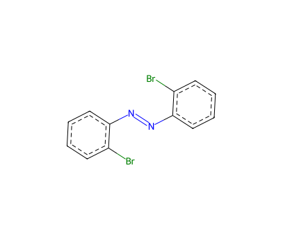 Brc1ccccc1N=Nc1ccccc1Br